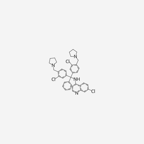 Clc1ccc2c(NC(c3ccccc3)(c3ccc(CN4CCCC4)c(Cl)c3)c3ccc(CN4CCCC4)c(Cl)c3)ccnc2c1